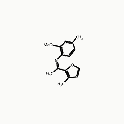 COc1cc(C)ccc1N=C(C)c1occc1C